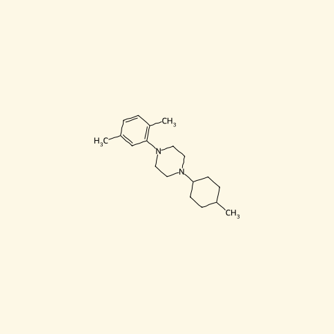 Cc1ccc(C)c(N2CCN(C3CCC(C)CC3)CC2)c1